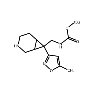 Cc1cc(C2(CNC(=O)OC(C)(C)C)C3CCNCC32)no1